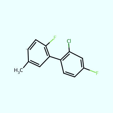 Cc1[c]cc(F)c(-c2ccc(F)cc2Cl)c1